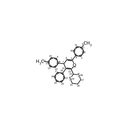 Cc1ccc(C2=CC(c3ccc(C)cc3)C(c3ccccc3)=C(C3SCCCS3)O2)cc1